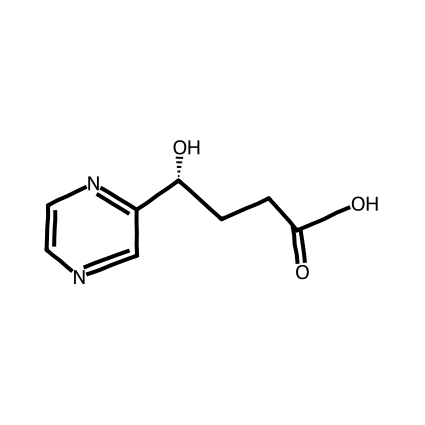 O=C(O)CC[C@@H](O)c1cnccn1